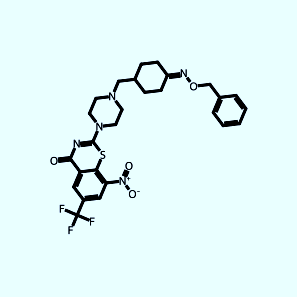 O=c1nc(N2CCN(CC3CCC(=NOCc4ccccc4)CC3)CC2)sc2c([N+](=O)[O-])cc(C(F)(F)F)cc12